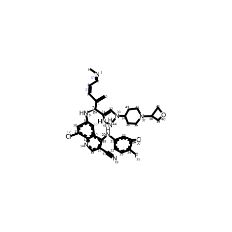 C=C(/C=C\C=N/C)[C@H](Nc1cc(Cl)c2ncc(C#N)c(Nc3ccc(F)c(Cl)c3)c2c1)C1=CN(C2CCN(C3COC3)CC2)NN1